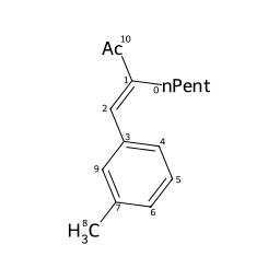 CCCCC/C(=C\c1cccc(C)c1)C(C)=O